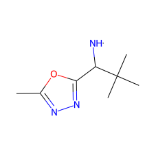 Cc1nnc(C([NH])C(C)(C)C)o1